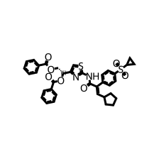 O=C(Nc1nc([C@@H](COC(=O)c2ccccc2)OC(=O)c2ccccc2)cs1)C(=CC1CCCC1)c1ccc(S(=O)(=O)C2CC2)cc1